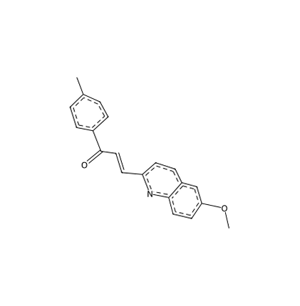 COc1ccc2nc(/C=C/C(=O)c3ccc(C)cc3)ccc2c1